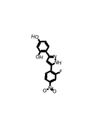 O=[N+]([O-])c1ccc(-c2cc(-c3ccc(O)cc3O)n[nH]2)c(F)c1